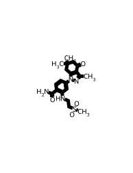 Cc1nn(-c2ccc(C(N)=O)c(NCCS(C)(=O)=O)c2)c2c1C(=O)CC(C)(C)C2